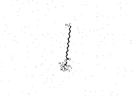 CCCCCCCCCCCCCCCC(=O)OCC(C)(C)N(C)C